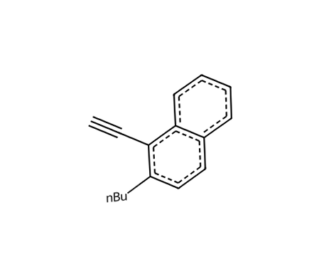 C#Cc1c(CCCC)ccc2ccccc12